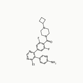 CCc1ncnc(-c2cc(F)c(C(=O)N3CCN(C4CCC4)CC3)c(F)c2)c1-c1ccc(N)nc1